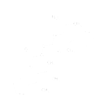 CC(C)C(OC(=O)OOC(=O)OC(C(C)C)C(C)C1CCCC1)C(C)C1CCCC1